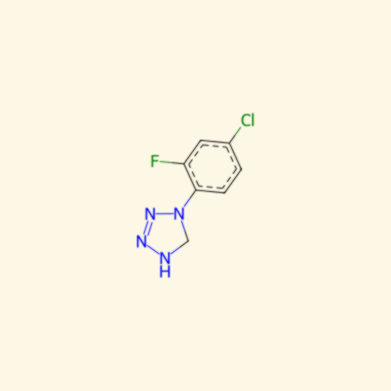 Fc1cc(Cl)ccc1N1CNN=N1